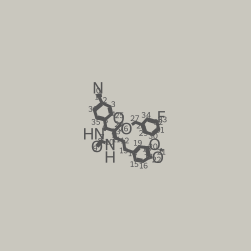 N#Cc1ccc(C2NC(=O)NC(CCc3ccc4c(c3)OCO4)=C2C(=O)OCc2cccc(F)c2)cc1